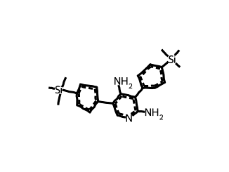 C[Si](C)(C)c1ccc(-c2cnc(N)c(-c3ccc([Si](C)(C)C)cc3)c2N)cc1